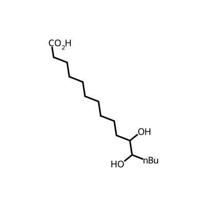 CCCCC(O)C(O)CCCCCCCCCC(=O)O